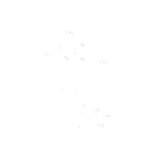 CCc1nc2c(C)cc(C)nc2n1Cc1ccc2oc(-c3cccc(F)c3C(=O)OC(C)(C)C)cc2c1